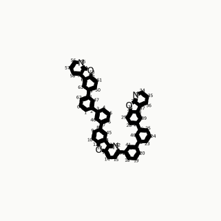 c1cc(-c2cccc(-c3ccc4oc5ccc(-c6cccc(-c7cccc(-c8ccc9oc%10ncccc%10c9c8)c7)c6)nc5c4c3)c2)cc(-c2ccc3oc4ncccc4c3c2)c1